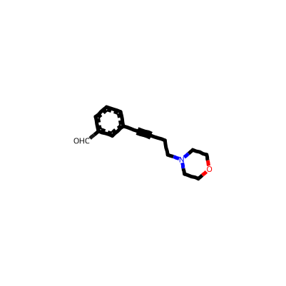 O=Cc1cccc(C#CCCN2CCOCC2)c1